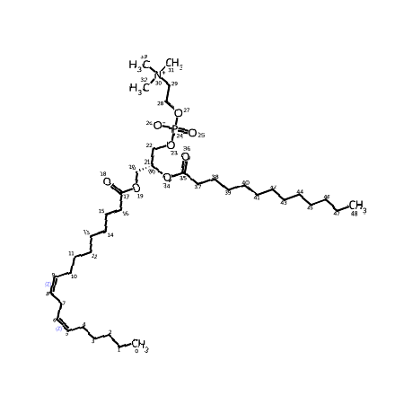 CCCCC/C=C\C/C=C\CCCCCCCC(=O)OC[C@H](COP(=O)([O-])OCC[N+](C)(C)C)OC(=O)CCCCCCCCCCCC